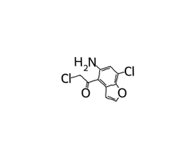 Nc1cc(Cl)c2occc2c1C(=O)CCl